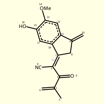 C=C(C)C(=O)/C(C#N)=C1\CC(=C)c2cc(OC)c(O)cc21